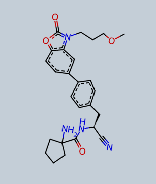 COCCCn1c(=O)oc2ccc(-c3ccc(C[C@@H](C#N)NC(=O)C4(N)CCCC4)cc3)cc21